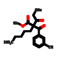 CCOC(=O)CCCCC(C(=O)COC(C)=O)(C(=O)OC(C)(C)C)C(=O)c1cccc(C#N)c1